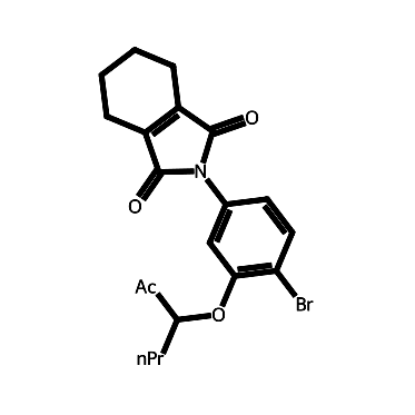 CCCC(Oc1cc(N2C(=O)C3=C(CCCC3)C2=O)ccc1Br)C(C)=O